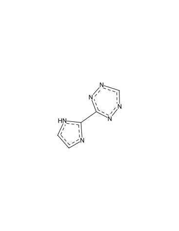 c1nnc(-c2ncc[nH]2)nn1